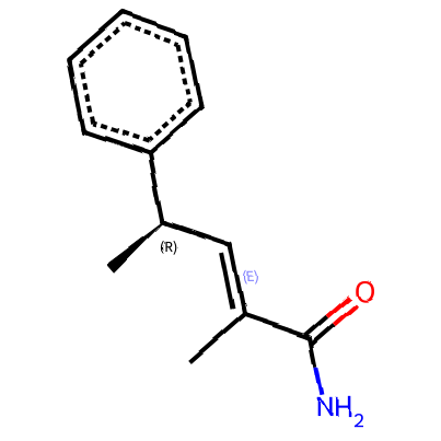 C/C(=C\[C@@H](C)c1ccccc1)C(N)=O